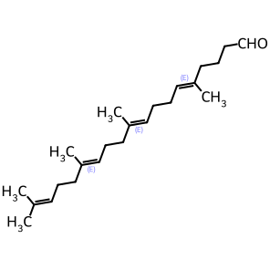 CC(C)=CCC/C(C)=C/CC/C(C)=C/CC/C=C(\C)CCCC=O